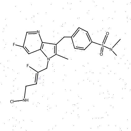 Cc1c(Cc2ccc(S(=O)(=O)N(C)C)cc2)c2ncc(F)cc2n1C/C(F)=C/CNCl